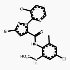 Cc1cc(Cl)cc(NC(=O)O)c1NC(=O)c1cc(Br)nn1-c1ncccc1Cl